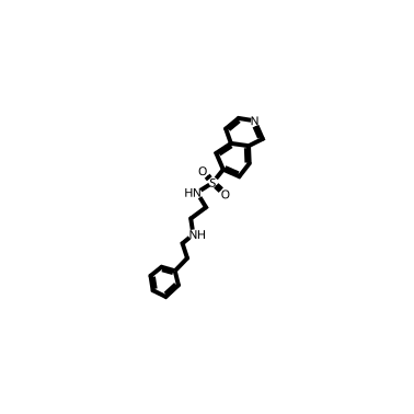 O=S(=O)(NCCNCCc1ccccc1)c1ccc2cnccc2c1